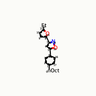 CCCCCCCCc1ccc(-c2cc(-c3ccc(CC)o3)no2)cc1